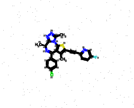 Cc1c(C#Cc2ccc(F)cn2)sc2c1C(c1ccc(Cl)cc1)=N[C@@H](C)c1nnc(C)n1-2